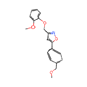 COCc1ccc(-c2cc(COc3ccccc3OC)no2)cc1